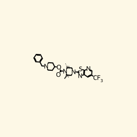 C[C@@H]1CN(c2nc3cc(C(F)(F)F)cnc3s2)C[C@@H](C)N1C(=O)OC1CCN(Cc2ccccc2)CC1